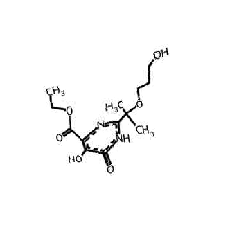 CCOC(=O)c1nc(C(C)(C)OCCCO)[nH]c(=O)c1O